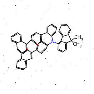 CC1(C)c2ccccc2-c2c(N(c3ccc(-c4ccc5ccccc5c4)cc3)c3ccccc3-c3ccc(-c4cccc5ccccc45)cc3)cccc21